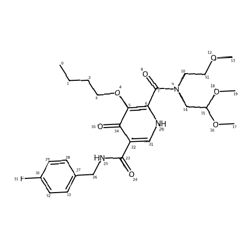 CCCCOc1c(C(=O)N(CCOC)CC(OC)OC)[nH]cc(C(=O)NCc2ccc(F)cc2)c1=O